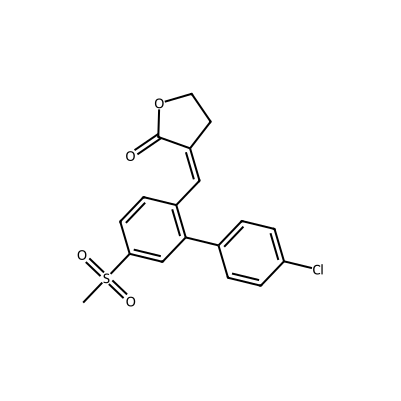 CS(=O)(=O)c1ccc(C=C2CCOC2=O)c(-c2ccc(Cl)cc2)c1